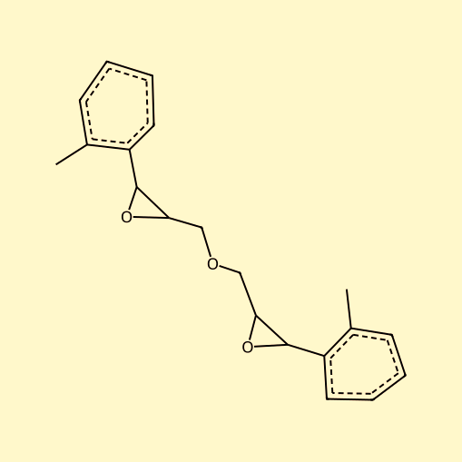 Cc1ccccc1C1OC1COCC1OC1c1ccccc1C